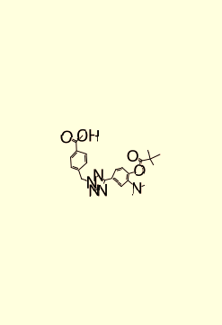 CN(C)c1cc(-c2nnn(Cc3ccc(C(=O)O)cc3)n2)ccc1OC(=O)C(C)(C)C